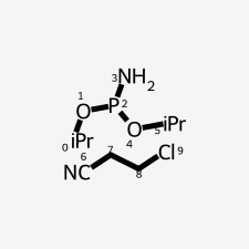 CC(C)OP(N)OC(C)C.N#CCCCl